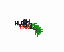 C[N+](C)(C)CC(O)CSCCC(CC(CC(F)(C(F)(F)F)C(F)(F)F)C(F)(F)F)C(F)(F)F